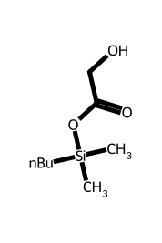 CCCC[Si](C)(C)OC(=O)CO